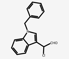 O=CC(Cl)c1cn(Cc2ccccc2)c2ccccc12